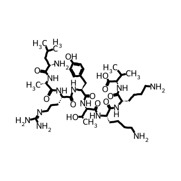 CC(C)C[C@H](N)C(=O)N[C@@H](C)C(=O)N[C@@H](CCCN=C(N)N)C(=O)N[C@@H](Cc1ccc(O)cc1)C(=O)N[C@H](C(=O)N[C@@H](CCCCN)C(=O)N[C@@H](CCCCN)C(=O)N[C@H](C(=O)O)C(C)C)[C@@H](C)O